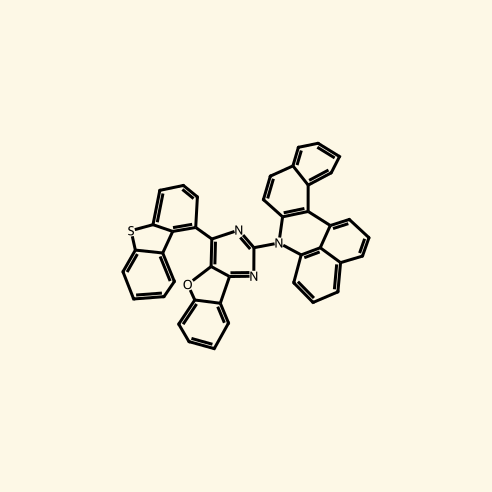 c1ccc2c3c(ccc2c1)N(c1nc(-c2cccc4sc5ccccc5c24)c2oc4ccccc4c2n1)c1cccc2cccc-3c12